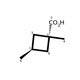 C[C@H]1C[C@](C)(C(=O)O)C1